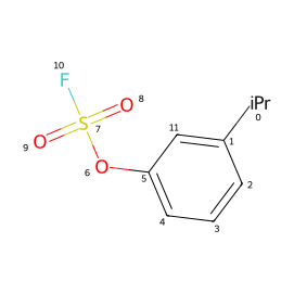 CC(C)c1cccc(OS(=O)(=O)F)c1